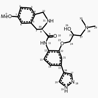 COc1ccc2c(c1)C[C@H](C(=O)Nc1ccc(-c3cn[nH]c3)cc1OCC(O)CN(C)C)NC2